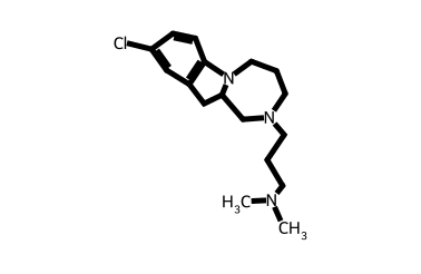 CN(C)CCCN1CCCN2c3ccc(Cl)cc3CC2C1